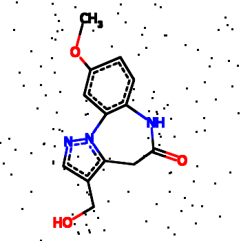 COc1ccc2c(c1)-n1ncc(CO)c1CC(=O)N2